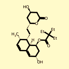 CCC(CC)(CC)C(=O)O[C@H]1C[C@H](O)C=C2C=C[C@H](C)[C@H](CC[C@@H]3C[C@@H](O)CC(=O)O3)[C@H]21